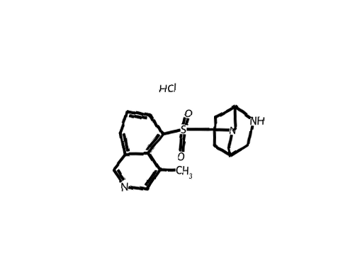 Cc1cncc2cccc(S(=O)(=O)N3CC4CCC(C3)NC4)c12.Cl